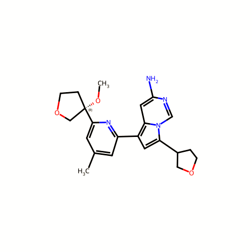 CO[C@@]1(c2cc(C)cc(-c3cc(C4CCOC4)n4cnc(N)cc34)n2)CCOC1